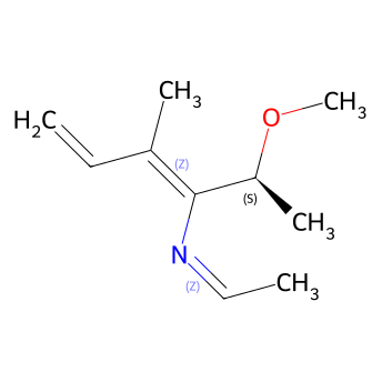 C=C/C(C)=C(\N=C/C)[C@H](C)OC